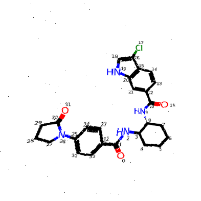 O=C(NC1CCCC[C@H]1NC(=O)c1ccc2c(Cl)c[nH]c2c1)c1ccc(N2CCCC2=O)cc1